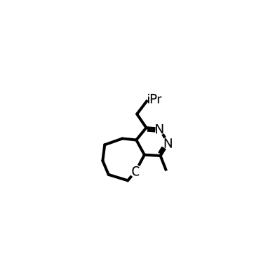 CC1=NN=C(CC(C)C)C2CCCCCCC12